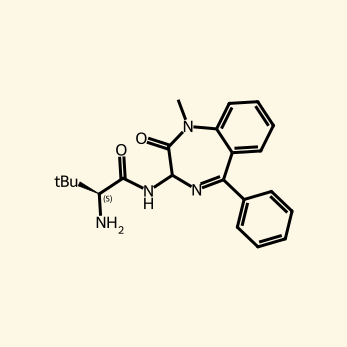 CN1C(=O)C(NC(=O)[C@@H](N)C(C)(C)C)N=C(c2ccccc2)c2ccccc21